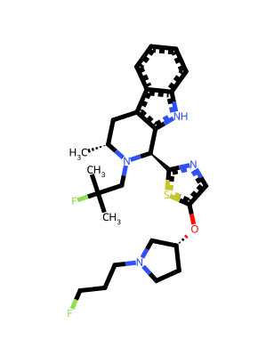 C[C@@H]1Cc2c([nH]c3ccccc23)[C@@H](c2ncc(O[C@@H]3CCN(CCCF)C3)s2)N1CC(C)(C)F